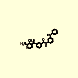 Cc1c(Nc2cccc(C(=O)Nc3cccc(Nc4ccccc4)c3)c2)ccnc1N